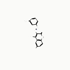 N#Cc1cccc(/N=N/c2c(O)c3cc(S(=O)(=O)O)ccc3[nH]c2=O)c1